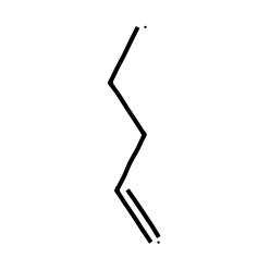 [CH]=CCC[CH2]